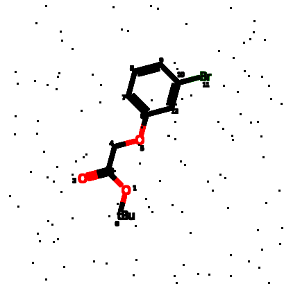 CC(C)(C)OC(=O)COc1cccc(Br)c1